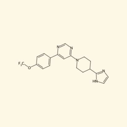 FC(F)(F)Oc1ccc(-c2cc(N3CCC(c4ncc[nH]4)CC3)ncn2)cc1